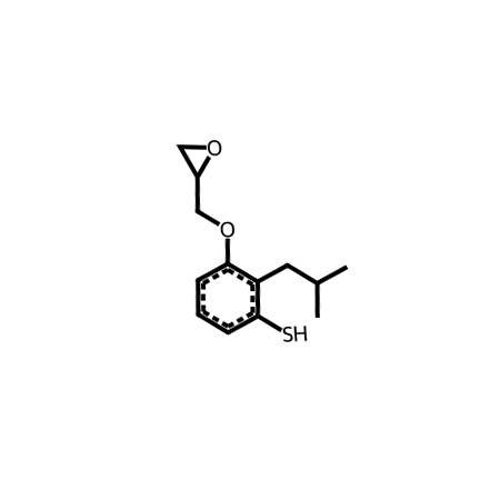 CC(C)Cc1c(S)cccc1OCC1CO1